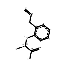 C=CCc1ccccc1S[C@H](C)C(=C)C